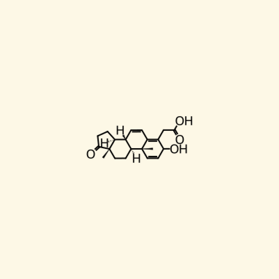 C[C@]12C=CC(O)C(CC(=O)O)=C1C=C[C@@H]1[C@@H]2CC[C@]2(C)C(=O)CC[C@@H]12